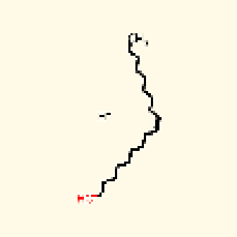 CCCCCCCC/C=C\CCCCCCCCO.[H+]